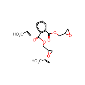 C=CC(=O)O.C=CC(=O)O.O=C(OCC1CO1)c1ccccc1C(=O)OCC1CO1